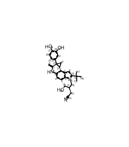 C=C(Nc1ccc2c(c1)cc(C(C)(C)C)n2CC(CO)CC#N)C1(c2ccc(O)c(O)c2)CC1